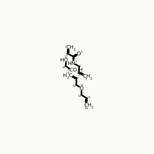 C=CCNC(=O)C=C.C=CCOCC=C.O=C(O)CO